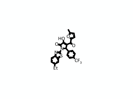 CCc1ccc2nc(N3C(=O)C(O)=C(C(=O)c4ccc(C)o4)C3c3ccc(C(F)(F)F)cc3)sc2c1